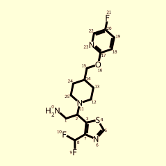 NCC(c1scnc1C(F)F)N1CCC(COc2ccc(F)cn2)CC1